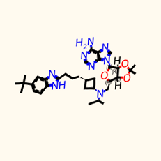 CC(C)N(C[C@H]1O[C@@H](n2cnc3c(N)ncnc32)[C@@H]2OC(C)(C)O[C@@H]21)[C@H]1C[C@@H](CCCc2nc3cc(C(C)(C)C)ccc3[nH]2)C1